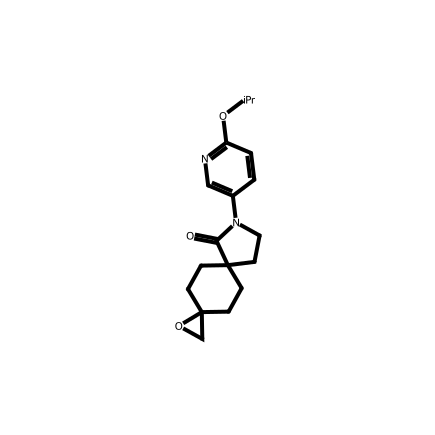 CC(C)Oc1ccc(N2CCC3(CCC4(CC3)CO4)C2=O)cn1